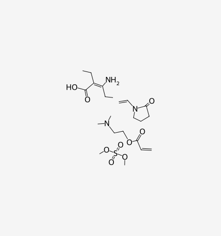 C=CC(=O)OCCN(C)C.C=CN1CCCC1=O.CCC(N)=C(CC)C(=O)O.COS(=O)(=O)OC